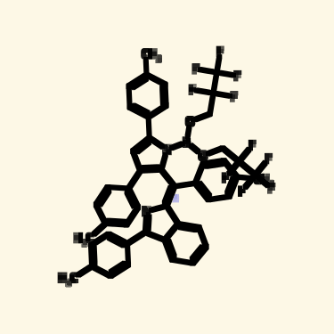 Cc1ccc(C2=N/C(=C(/c3ccc(C)cc3)c3c(-c4ccc(C)cc4)cc(-c4ccc(C)cc4)n3B(OCC(F)(F)C(F)(F)F)OCC(F)(F)C(F)(F)F)c3ccccc32)cc1